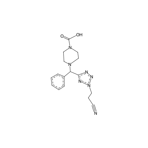 N#CCCn1nnc(C(c2ccccc2)N2CCN(C(=O)O)CC2)n1